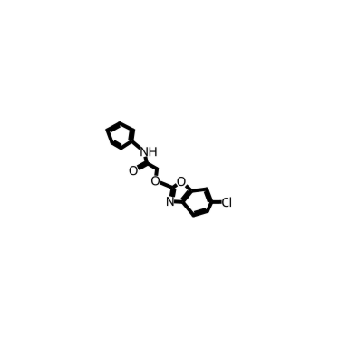 O=C(COc1nc2ccc(Cl)cc2o1)Nc1ccccc1